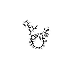 COc1cc(O[C@@H]2C[C@H]3C(=O)N[C@]4(C(=O)NS(=O)(=O)C5(C)CC5)C[C@H]4/C=C\CCCCN(C)C(=O)[C@@H]3C2)nc(-c2ccccc2)n1